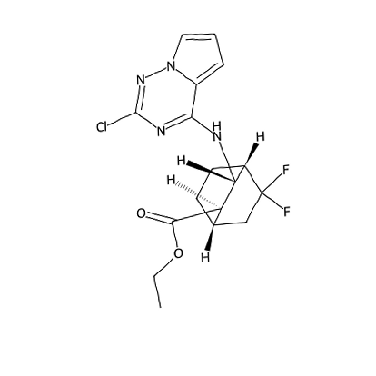 CCOC(=O)[C@@H]1[C@H]2CC[C@@H]([C@H]1Nc1nc(Cl)nn3cccc13)C(F)(F)C2